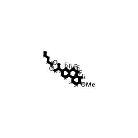 C=CCCC1OCC(c2ccc3c(c2F)C(F)(F)C(F)(F)c2c-3ccc(OC)c2F)CO1